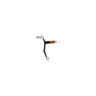 [CH2]CCC(=S)OC